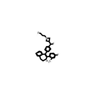 Cc1cc(F)ccc1C1=C(c2ccc(C(F)C3CN(CCCF)C3)cc2)c2ccccc2CCC1